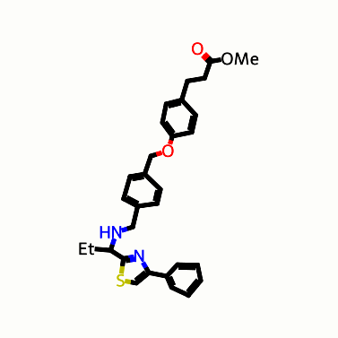 CCC(NCc1ccc(COc2ccc(CCC(=O)OC)cc2)cc1)c1nc(-c2ccccc2)cs1